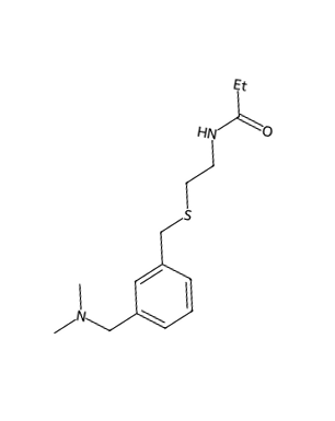 CCC(=O)NCCSCc1cccc(CN(C)C)c1